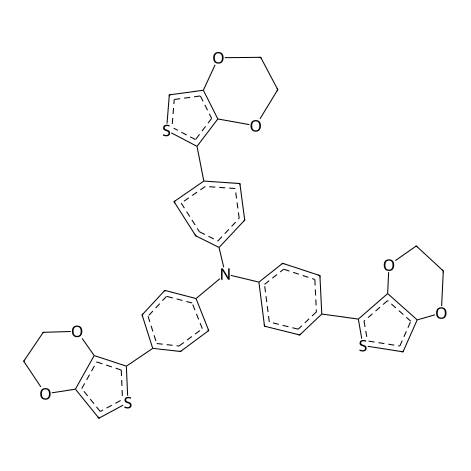 c1cc(N(c2ccc(-c3scc4c3OCCO4)cc2)c2ccc(-c3scc4c3OCCO4)cc2)ccc1-c1scc2c1OCCO2